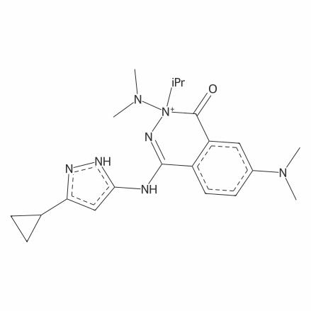 CC(C)[N+]1(N(C)C)N=C(Nc2cc(C3CC3)n[nH]2)c2ccc(N(C)C)cc2C1=O